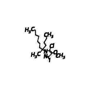 CCCCCCCC(C)(CCCC)n1nc(I)c(OC)c1Cl